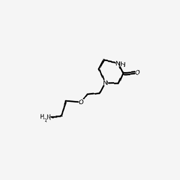 NCCOCCN1CCNC(=O)C1